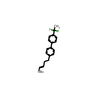 CCCC/C=C/CCc1ccc(-c2ccc(C(C)(F)F)cc2)cc1